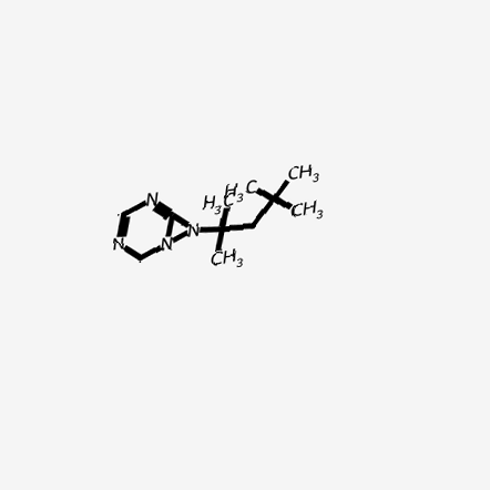 CC(C)(C)CC(C)(C)N1C2=N[C]=N[CH]N21